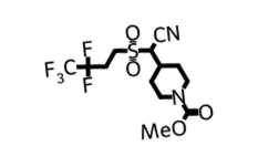 COC(=O)N1CCC(C(C#N)S(=O)(=O)CCC(F)(F)C(F)(F)F)CC1